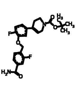 CC(C)(C)OC(=O)N1CC=C(c2ccc(F)c(OCc3ccc(C(N)=O)cc3F)c2)CC1